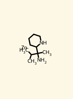 CC(C)C(C)(N)C1CCCCN1.[Zn]